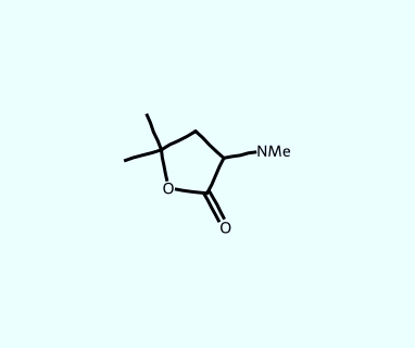 CNC1CC(C)(C)OC1=O